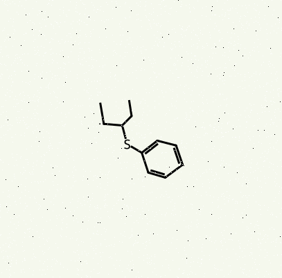 C[CH]C(CC)Sc1ccccc1